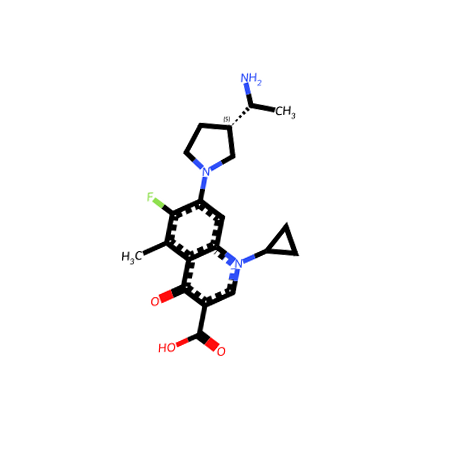 Cc1c(F)c(N2CC[C@H](C(C)N)C2)cc2c1c(=O)c(C(=O)O)cn2C1CC1